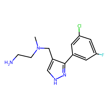 CN(CCN)Cc1c[nH]nc1-c1cc(F)cc(Cl)c1